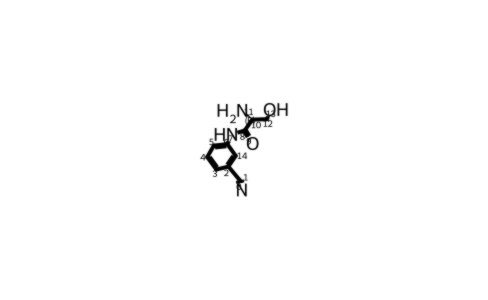 N#Cc1cccc(NC(=O)[C@H](N)CO)c1